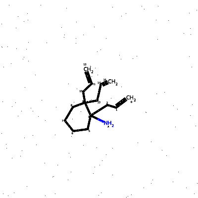 C=CCC1(N)CCCCC1(CC=C)CC=C